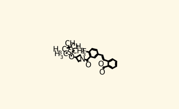 CC(C)(C)[Si](C)(C)OC1CN(C(=O)c2cc(/C=C3\OC(=O)c4ccccc43)ccc2F)C1